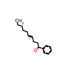 CCCCC/C=C/CCC(=O)c1ccccc1